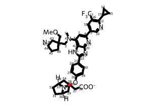 COCC1(CN(C)c2cc(-c3cnc(C4CC4)c(C(F)(F)F)c3)nc3nc(-c4ccc(O[C@@H]5C[C@H]6CC[C@@H](C5)N6CCC(=O)[O-])cc4)[nH]c23)CCCC1.[Na+]